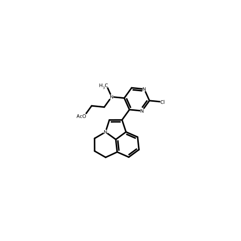 CC(=O)OCCN(C)c1cnc(Cl)nc1-c1cn2c3c(cccc13)CCC2